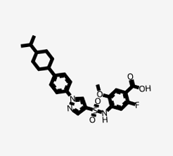 COc1cc(C(=O)O)c(F)cc1NS(=O)(=O)c1cnn(-c2ccc(C3CCC(C(C)C)CC3)cc2)c1